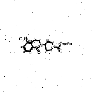 CC(C)(C)OC(=O)N1CCC(n2ccc3c([N+](=O)[O-])cccc3c2=O)CC1